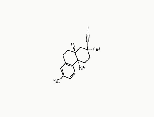 CC#C[C@@]1(O)CC[C@@]2(CCC)c3ccc(C#N)cc3CC[C@@H]2C1